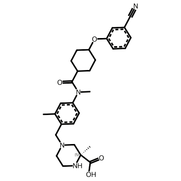 Cc1cc(N(C)C(=O)C2CCC(Oc3cccc(C#N)c3)CC2)ccc1CN1CCN[C@](C)(C(=O)O)C1